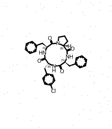 O=C1N[C@H](Cc2ccc(Cl)cc2)C(=O)N[C@@H](Cc2ccccc2)C(=O)N2CCC[C@@H]2C(=O)N[C@H]1Cc1ccccc1